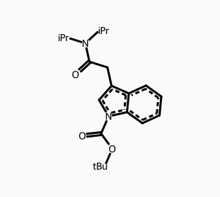 CC(C)N(C(=O)Cc1cn(C(=O)OC(C)(C)C)c2ccccc12)C(C)C